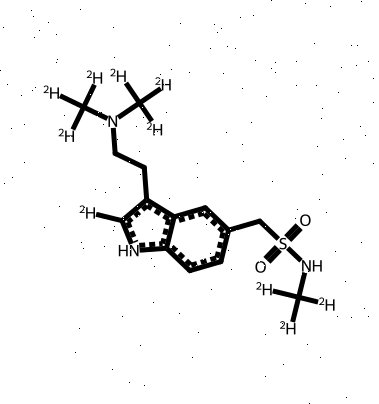 [2H]c1[nH]c2ccc(CS(=O)(=O)NC([2H])([2H])[2H])cc2c1CCN(C([2H])([2H])[2H])C([2H])([2H])[2H]